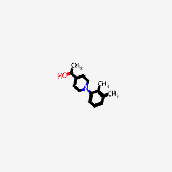 Cc1cccc(N2CCC(C(C)O)CC2)c1C